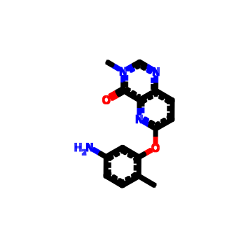 Cc1ccc(N)cc1Oc1ccc2ncn(C)c(=O)c2n1